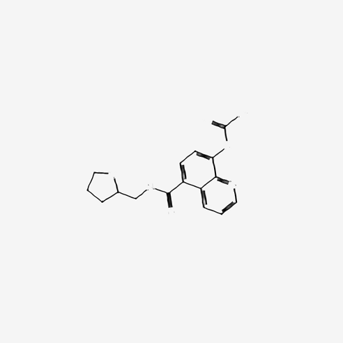 CC(C)C(=O)Sc1ccc(C(=O)NCC2CCCO2)c2cccnc12